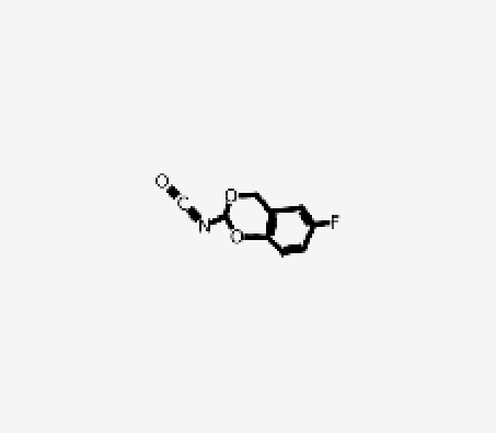 O=C=NC1OCc2cc(F)c[c]c2O1